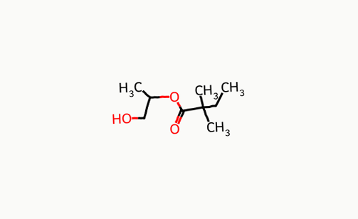 CCC(C)(C)C(=O)OC(C)CO